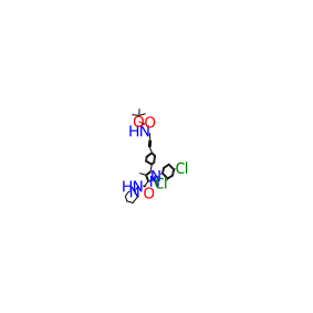 Cc1c(C(=O)NN2CCCCC2)nn(-c2ccc(Cl)cc2Cl)c1-c1ccc(C#CCNC(=O)OC(C)(C)C)cc1